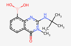 Cn1c(NC(C)(C)C)nc2c(B(O)O)cccc2c1=O